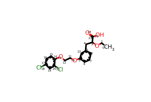 CCOC(Cc1cccc(OCCOc2ccc(Cl)cc2Cl)c1)C(=O)O